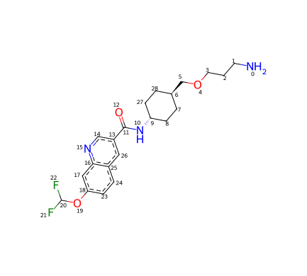 NCCCOC[C@H]1CC[C@H](NC(=O)c2cnc3cc(OC(F)F)ccc3c2)CC1